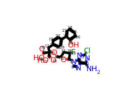 Nc1nc(Cl)nc2c1ncn2C1OC(COC(Cc2ccc(-c3ccccc3O)cc2)(C(=O)O)C(=O)O)CC1F